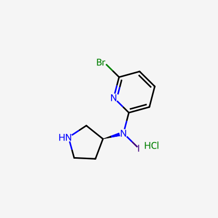 Brc1cccc(N(I)[C@H]2CCNC2)n1.Cl